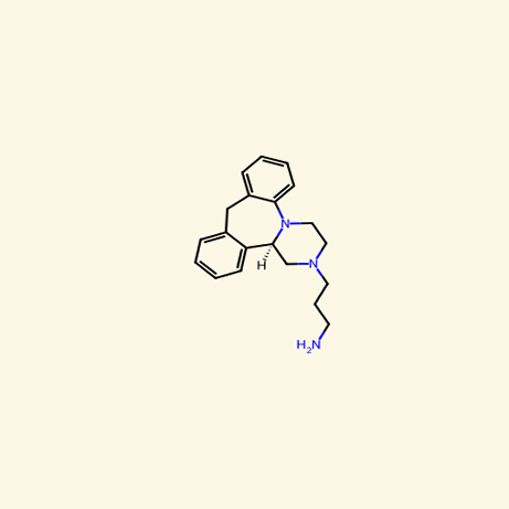 NCCCN1CCN2c3ccccc3Cc3ccccc3[C@@H]2C1